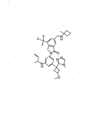 C=CC(C)Nc1cc(N2Cc3c(cc(CNC4(C)CCC4)cc3C(F)(F)F)C2=O)cc(C2(c3nncn3C)CC(OC)C2)c1